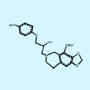 COc1ccc(OCC(O)CN2CCc3cc4c(c(OC)c3C2)OCO4)cc1